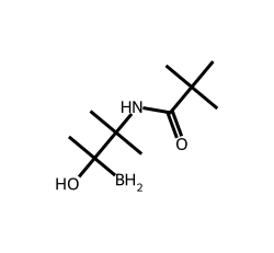 BC(C)(O)C(C)(C)NC(=O)C(C)(C)C